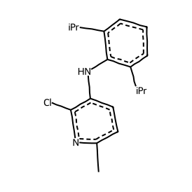 Cc1ccc(Nc2c(C(C)C)cccc2C(C)C)c(Cl)n1